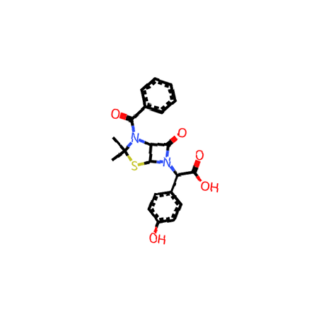 CC1(C)SC2C(C(=O)N2C(C(=O)O)c2ccc(O)cc2)N1C(=O)c1ccccc1